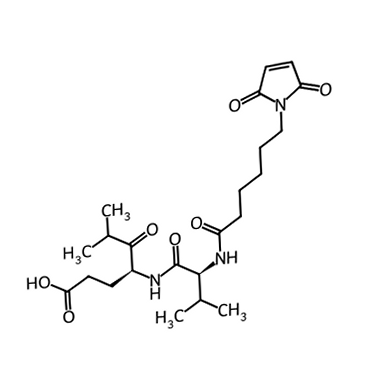 CC(C)C(=O)[C@H](CCC(=O)O)NC(=O)[C@@H](NC(=O)CCCCCN1C(=O)C=CC1=O)C(C)C